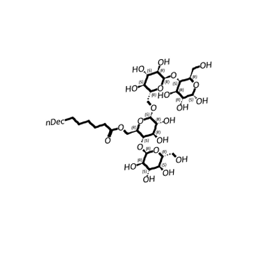 CCCCCCCCCCCCCCCC(=O)OC[C@H]1O[C@H](OC[C@H]2O[C@H](O[C@H]3[C@H](O)[C@@H](O)[C@@H](O)O[C@@H]3CO)[C@H](O)[C@@H](O)[C@@H]2O)[C@H](O)[C@@H](O)[C@@H]1O[C@H]1O[C@H](CO)[C@@H](O)[C@H](O)[C@H]1O